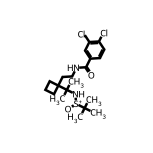 CC(C)(C)[S+]([O-])NC(C)(C)C1(CCNC(=O)c2ccc(Cl)c(Cl)c2)CCC1